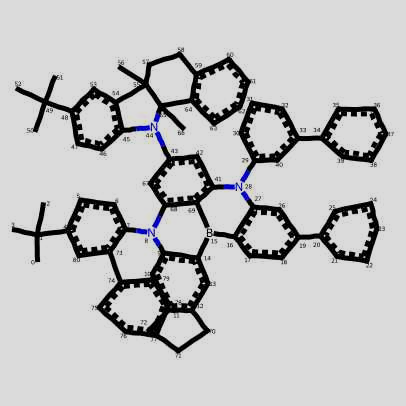 CC(C)(C)c1ccc(N2c3cc4c(cc3B3c5ccc(-c6ccccc6)cc5N(c5cccc(-c6ccccc6)c5)c5cc(N6c7ccc(C(C)(C)C)cc7C7(C)CCc8ccccc8C67C)cc2c53)CCC4)c(-c2ccccc2)c1